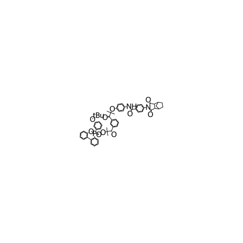 CC(C)(C)Oc1ccc(OC(C)(C)C(=O)c2cccc(C(=O)C(C)(C)Oc3ccc(NC(=O)c4ccc(N5C(=O)C6C7CCC(C7)C6C5=O)cc4)cc3)c2)c(P2(=O)Oc3ccccc3-c3ccccc32)c1